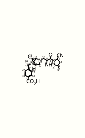 CC1CC(C#N)N(C(=O)C(N)CN2C[C@@H]3CC2C(=O)N3[C@@H](C)c2ccc(C(=O)O)cc2)C1